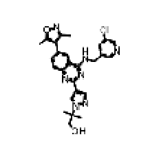 Cc1noc(C)c1-c1ccc2nc(-c3cnn(C(C)(C)CO)c3)nc(NCc3cncc(Cl)c3)c2c1